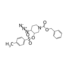 Cc1ccc(S(=O)(=O)OC2CN(C(=O)OCc3ccccc3)CCC2N=[N+]=[N-])cc1